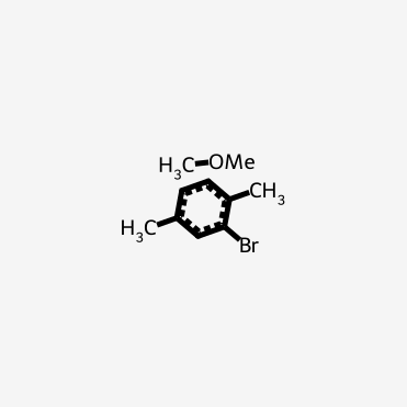 COC.Cc1ccc(C)c(Br)c1